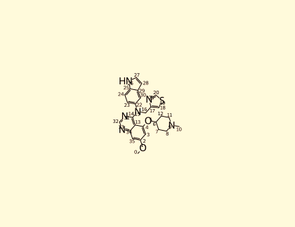 COc1cc(OC2CCN(C)CC2)c2c(N(Cc3cscn3)c3ccc4[nH]ccc4c3)ncnc2c1